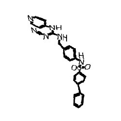 N#CN=C(NCc1ccc(NS(=O)(=O)c2ccc(-c3ccccc3)cc2)cc1)Nc1ccncc1